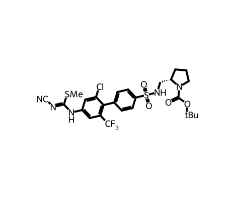 CS/C(=N\C#N)Nc1cc(Cl)c(-c2ccc(S(=O)(=O)NC[C@@H]3CCCN3C(=O)OC(C)(C)C)cc2)c(C(F)(F)F)c1